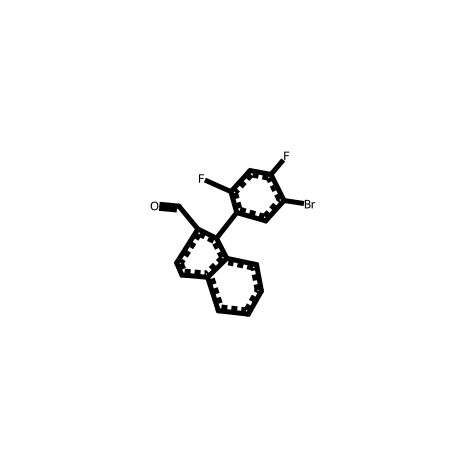 O=Cc1ccc2ccccc2c1-c1cc(Br)c(F)cc1F